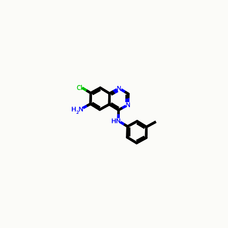 Cc1cccc(Nc2ncnc3cc(Cl)c(N)cc23)c1